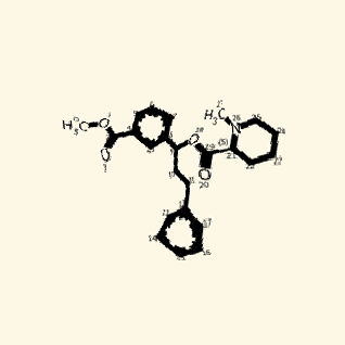 COC(=O)c1cccc(C(CCc2ccccc2)OC(=O)[C@@H]2CCCCN2C)c1